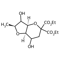 CCOC(=O)C1(C(=O)OCC)CC(O)[C@H]2O[C@@H](C)C(O)[C@H]2O1